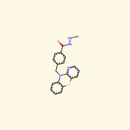 CCNNC(=O)c1ccc(CN2c3ccccc3Sc3cccnc32)cc1